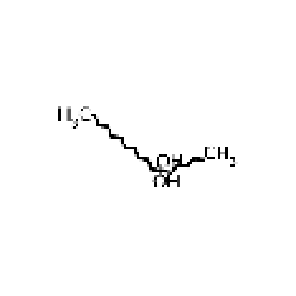 CCCCCCCCCCCC(O)(O)CCCCCC